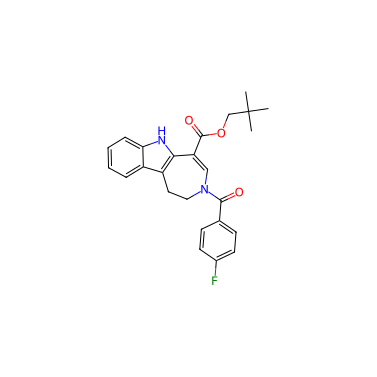 CC(C)(C)COC(=O)C1=CN(C(=O)c2ccc(F)cc2)CCc2c1[nH]c1ccccc21